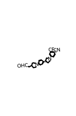 N#Cc1ccc(N2CC[C@@H](c3ccc(N4CCC(CC=O)CC4)cc3)C2)cc1C(F)(F)F